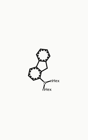 CCCCCCN(CCCCCC)c1cccc2c1Cc1ccccc1-2